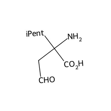 CCCC(C)C(N)(CC=O)C(=O)O